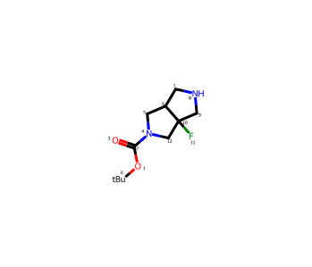 CC(C)(C)OC(=O)N1CC2CNCC2(F)C1